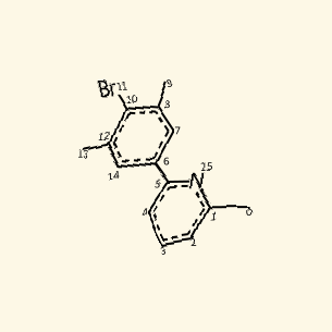 Cc1cccc(-c2cc(C)c(Br)c(C)c2)n1